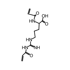 C=CC(=O)NC(=N)NCCCC(NC(=O)C=C)C(=O)O